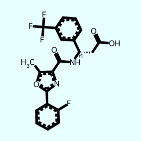 Cc1oc(-c2ccccc2F)nc1C(=O)N[C@@H](CC(=O)O)c1cccc(C(F)(F)F)c1